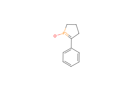 [O-][P+]1=C(c2ccccc2)CCC1